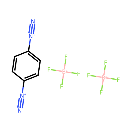 F[B-](F)(F)F.F[B-](F)(F)F.N#[N+]c1ccc([N+]#N)cc1